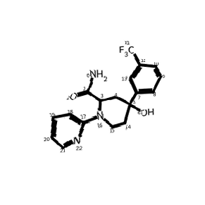 NC(=O)C1CC(O)(c2cccc(C(F)(F)F)c2)CCN1c1cc[c]cn1